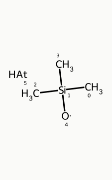 C[Si](C)(C)[O].[AtH]